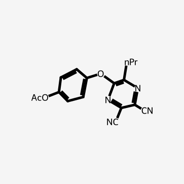 CCCc1nc(C#N)c(C#N)nc1Oc1ccc(OC(C)=O)cc1